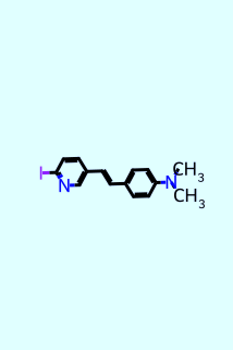 CN(C)c1ccc(C=Cc2ccc(I)nc2)cc1